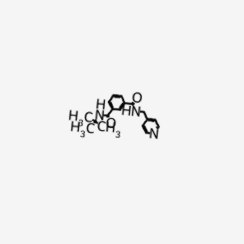 CC(C)(C)NC(=O)c1cccc(C(=O)NCc2ccncc2)c1